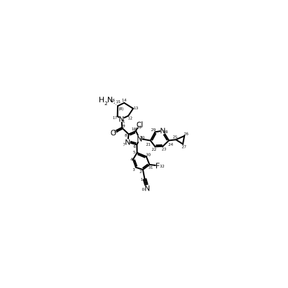 N#Cc1ccc(-c2nc(C(=O)N3CCC[C@@H](N)C3)c(Cl)n2-c2ccc(C3CC3)nc2)cc1F